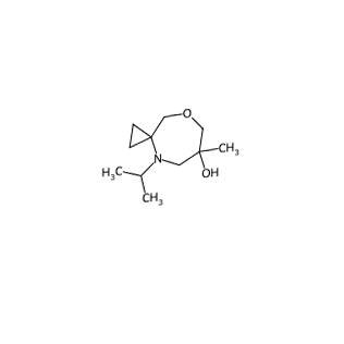 CC(C)N1CC(C)(O)COCC12CC2